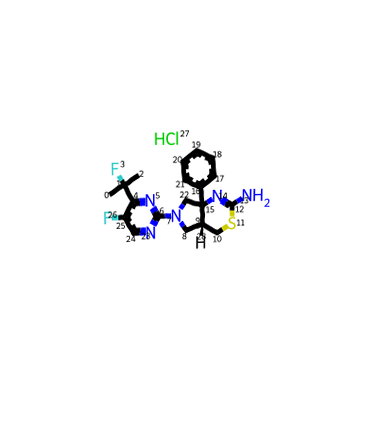 CC(C)(F)c1nc(N2C[C@H]3CSC(N)=NC3(c3ccccc3)C2)ncc1F.Cl